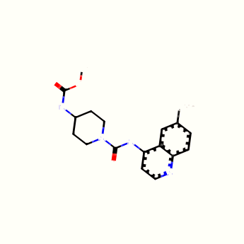 COc1ccc2nccc(NC(=O)N3CCC(NC(=O)OC(C)(C)C)CC3)c2c1